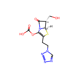 O=C(O)OC1=C(CCn2cnnn2)S[C@@H]2[C@@H](CO)C(=O)N12